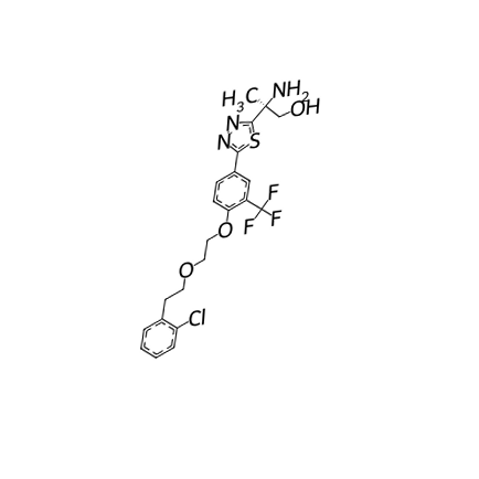 C[C@](N)(CO)c1nnc(-c2ccc(OCCOCCc3ccccc3Cl)c(C(F)(F)F)c2)s1